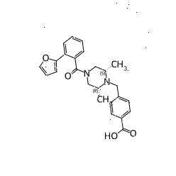 C[C@@H]1CN(C(=O)c2ccccc2-c2ccco2)C[C@H](C)N1Cc1ccc(C(=O)O)cc1